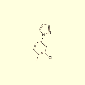 Cc1ccc(-n2cccn2)cc1Cl